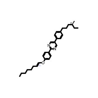 CCCCCC/C=C/Oc1ccc(-c2ncc(-c3ccc(CCC[C@@H](C)CC)cc3)cn2)cc1